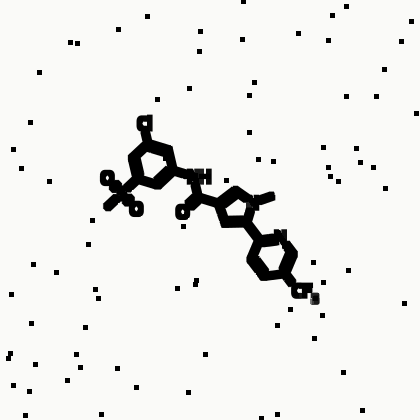 Cn1cc(C(=O)Nc2cc(Cl)cc(S(C)(=O)=O)c2)cc1-c1ccc(C(F)(F)F)cn1